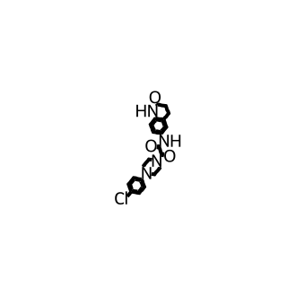 O=C1CCc2cc(NC(=O)C(=O)N3CCN(c4ccc(Cl)cc4)CC3)ccc2N1